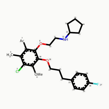 COc1c(Cl)c(C)c(C(C)=O)c(OCCNC2CCCC2)c1OCCCc1ccc(F)cc1